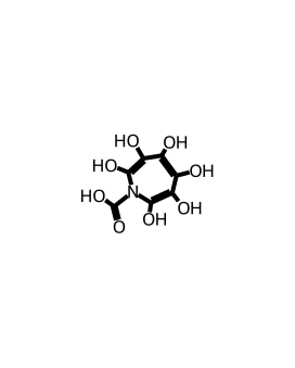 O=C(O)N1C(O)=C(O)C(O)=C(O)C(O)=C1O